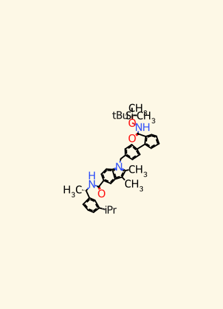 Cc1c(C)n(Cc2ccc(-c3ccccc3C(=O)NO[Si](C)(C)C(C)(C)C)cc2)c2ccc(C(=O)N[C@@H](C)c3cccc(C(C)C)c3)cc12